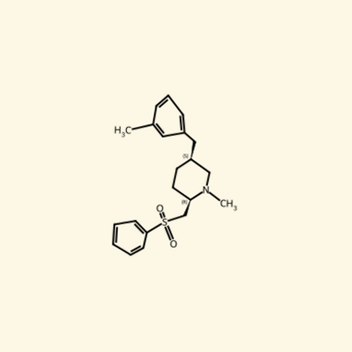 Cc1cccc(C[C@@H]2CC[C@H](CS(=O)(=O)c3ccccc3)N(C)C2)c1